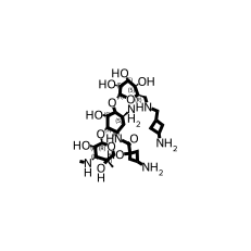 CN[C@@H]1[C@@H](O)[C@@H](O[C@H]2[C@H](NC(=O)C3(O)CC(N)C3)C[C@H](N)C(O[C@H]3O[C@H](CNCC4CC(N)C4)[C@@H](O)[C@H](O)[C@H]3O)[C@@H]2O)OC[C@]1(C)O